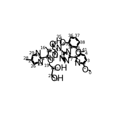 COc1cccc(-c2nnc(NS(=O)(=O)[C@H](C)[C@@H](OCC(O)CO)c3ncc(C)cn3)n2-c2c(OC)cccc2OC)n1